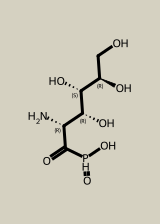 N[C@@H](C(=O)[PH](=O)O)[C@@H](O)[C@H](O)[C@H](O)CO